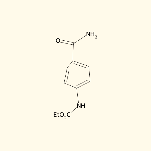 CCOC(=O)Nc1ccc(C(N)=O)cc1